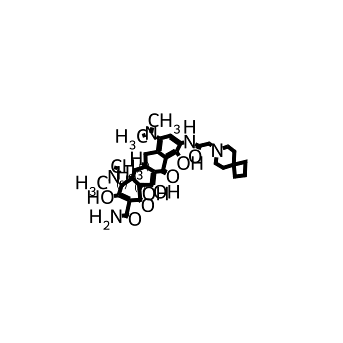 CN(C)c1cc(NC(=O)CN2CCC3(CCC3)CC2)c(O)c2c1C[C@H]1C[C@H]3[C@H](N(C)C)C(O)=C(C(N)=O)C(=O)[C@@]3(O)C(O)=C1C2=O